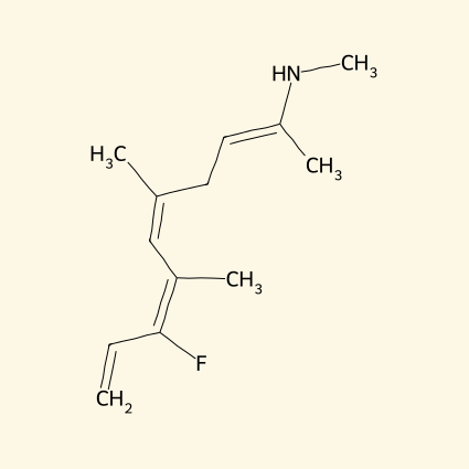 C=C/C(F)=C(C)\C=C(\C)C/C=C(\C)NC